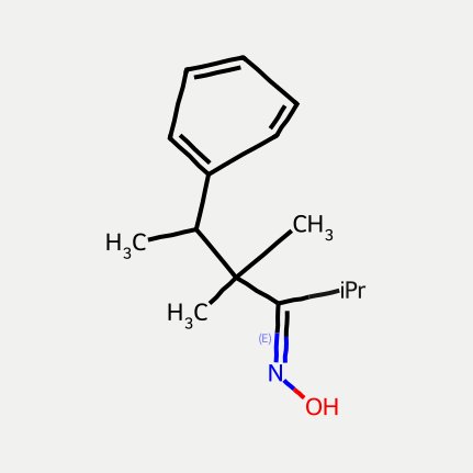 CC(C)/C(=N\O)C(C)(C)C(C)c1ccccc1